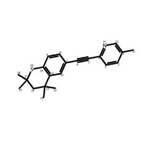 Cc1ccc(C#Cc2ccc3c(c2)C(C)(C)CC(C)(C)S3)nc1